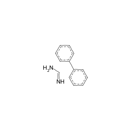 N=CN.c1ccc(-c2ccccc2)cc1